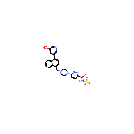 CS(=O)(=O)NC(=O)c1ccc(N2CCN(Cc3ccc(-c4cncc(O)c4)c4ccccc34)CC2)nn1